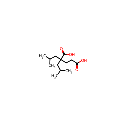 CC(C)CC(CCC(=O)O)(CC(C)C)C(=O)O